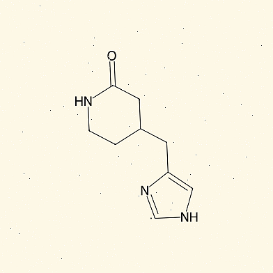 O=C1CC(Cc2c[nH][c]n2)CCN1